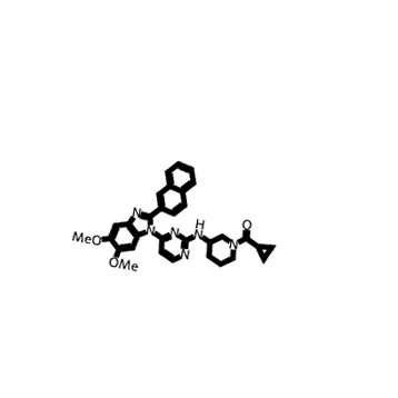 COc1cc2nc(-c3ccc4ccccc4c3)n(-c3ccnc(NC4CCCN(C(=O)C5CC5)C4)n3)c2cc1OC